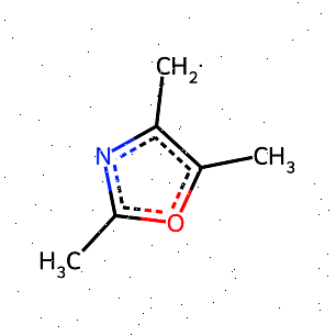 [CH2]c1nc(C)oc1C